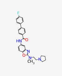 CN(CCN1CCCC1)c1nc2cc(NC(=O)c3ccc(-c4ccc(F)cc4)cc3)ccc2o1